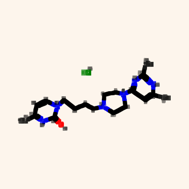 CC(C)(C)c1cc(N2CCN(CCCCn3ccc(C(C)(C)C)nc3=O)CC2)nc(C(C)(C)C)n1.Cl